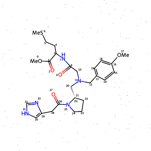 COC(=O)C(CCSC)NC(=O)CN(Cc1ccc(OC)cc1)C[C@@H]1CCCN1C(=O)Cc1c[nH]cn1